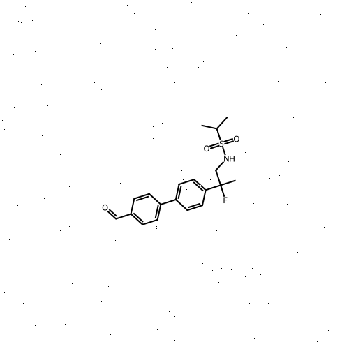 CC(C)S(=O)(=O)NCC(C)(F)c1ccc(-c2ccc(C=O)cc2)cc1